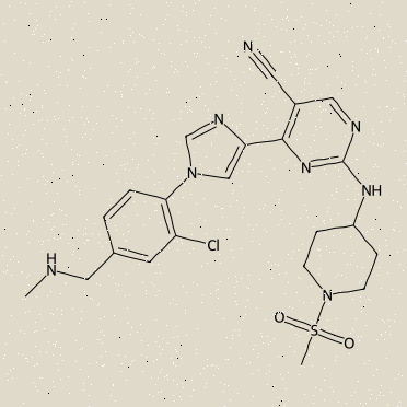 CNCc1ccc(-n2cnc(-c3nc(NC4CCN(S(C)(=O)=O)CC4)ncc3C#N)c2)c(Cl)c1